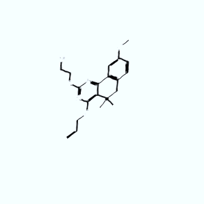 C=CCOc1nc(SCCN)nc2c1C(C)(C)Cc1ccc(OC)cc1-2